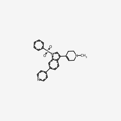 CN1CC=C(c2cn(S(=O)(=O)c3ccccc3)c3cc(-c4ccncc4)ccc23)CC1